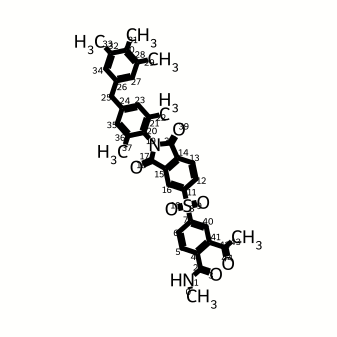 CNC(=O)c1ccc(S(=O)(=O)c2ccc3c(c2)C(=O)N(c2c(C)cc(Cc4cc(C)c(C)c(C)c4)cc2C)C3=O)cc1C(C)=O